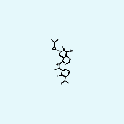 C[C@@H](Nc1ncnc2c(Br)c(=O)n([C@@H]3CC3C(F)F)cc12)c1cccc(C(F)F)c1F